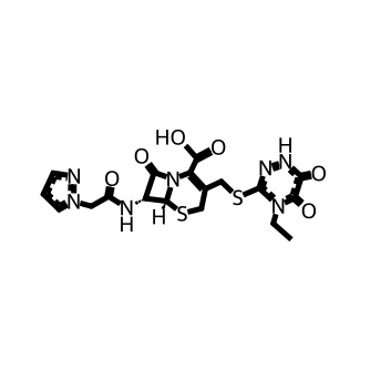 CCn1c(SCC2=C(C(=O)O)N3C(=O)[C@@H](NC(=O)Cn4cccn4)[C@@H]3SC2)n[nH]c(=O)c1=O